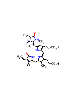 C=CC1=C(C)C(CC2=N/C(=C\c3[nH]c(/C=C4\NC(=O)C(C)\C4=C\C)c(C)c3CCC(=O)O)C(CCC(=O)O)=C2C)NC1=O